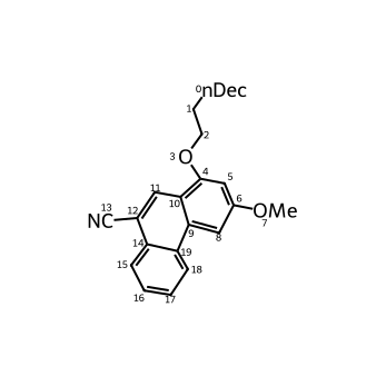 CCCCCCCCCCCCOc1cc(OC)cc2c1cc(C#N)c1ccccc12